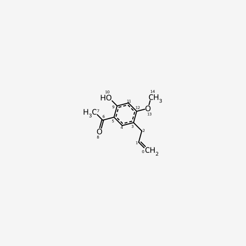 C=CCc1cc(C(C)=O)c(O)cc1OC